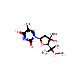 Cc1cn([C@H]2C[C@@](O)(C(C)(C)C)[C@@H](C(C)(C)O[SiH3])O2)c(=O)[nH]c1=O